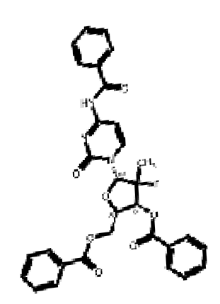 CC1(F)[C@@H](n2ccc(NC(=O)c3ccccc3)nc2=O)O[C@H](COC(=O)c2ccccc2)[C@@H]1OC(=O)c1ccccc1